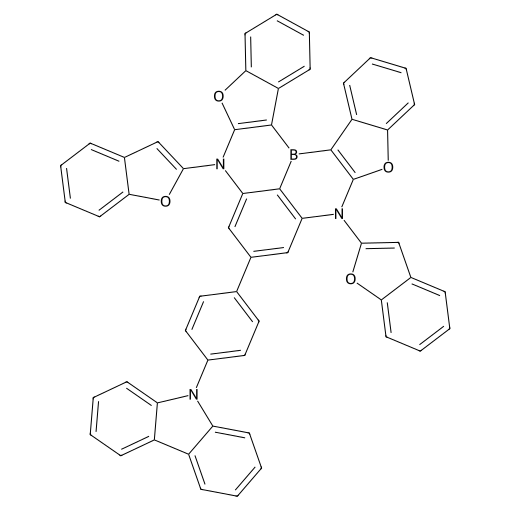 c1ccc2oc(N3c4cc(-c5ccc(-n6c7ccccc7c7ccccc76)cc5)cc5c4B(c4c3oc3ccccc43)c3c(oc4ccccc34)N5c3cc4ccccc4o3)cc2c1